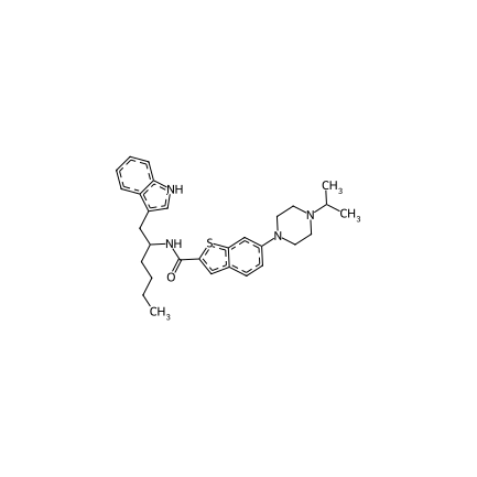 CCCCC(Cc1c[nH]c2ccccc12)NC(=O)c1cc2ccc(N3CCN(C(C)C)CC3)cc2s1